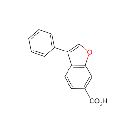 O=C(O)c1ccc2c(-c3ccccc3)coc2c1